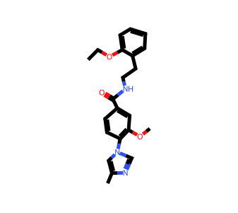 CCOc1ccccc1CCNC(=O)c1ccc(-n2cnc(C)c2)c(OC)c1